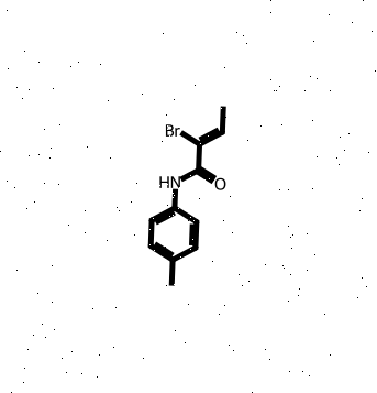 CC=C(Br)C(=O)Nc1ccc(C)cc1